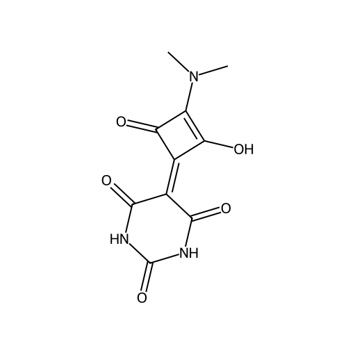 CN(C)C1=C(O)C(=C2C(=O)NC(=O)NC2=O)C1=O